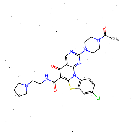 CC(=O)N1CCN(c2ncc3c(=O)c(C(=O)NCCN4CCCC4)c4sc5cc(Cl)ccc5n4c3n2)CC1